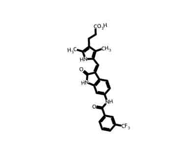 Cc1[nH]c(C=C2C(=O)Nc3cc(NC(=O)c4cccc(C(F)(F)F)c4)ccc32)c(C)c1CCC(=O)O